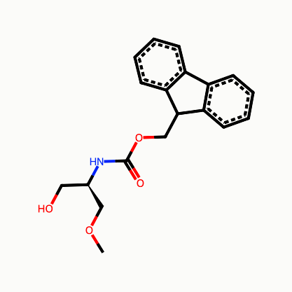 COC[C@@H](CO)NC(=O)OCC1c2ccccc2-c2ccccc21